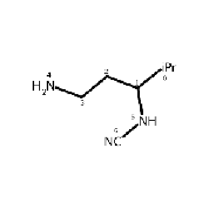 CC(C)C(CCN)NC#N